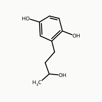 CC(O)CCc1cc(O)ccc1O